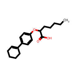 CCCCCC(Oc1ccc(C2=CCCCC2)cc1)C(=O)O